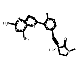 Bc1nc(N)c2nc(-c3cc(C#C[C@]4(O)CCN(C)C4=O)ccc3C)ccc2n1